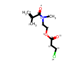 C=C(C)C(=O)N(C)CCOC(=O)CCCl